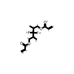 C=CC(=O)OCC(C)C(F)(F)C(C)COC(=O)C=C